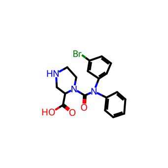 O=C(O)C1CNCCN1C(=O)N(c1ccccc1)c1cccc(Br)c1